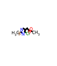 CSc1ncc(CC2OC(C)O2)c(Cl)n1